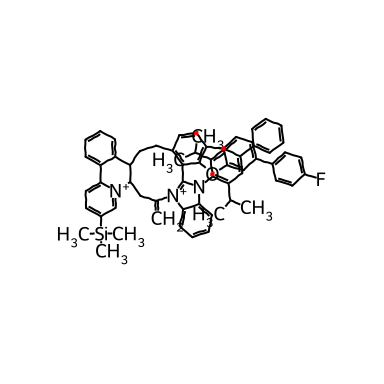 C=C1CC2C(CCc3ccc4c(oc5cc(-c6ccc(F)cc6)ccc54)c3-c3n(-c4c(C(C)C)cc(-c5ccccc5)cc4C(C)C)c4ccccc4[n+]31)c1ccccc1-c1ccc([Si](C)(C)C)c[n+]12